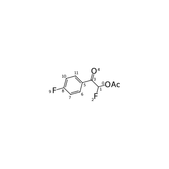 CC(=O)OC(F)C(=O)c1ccc(F)cc1